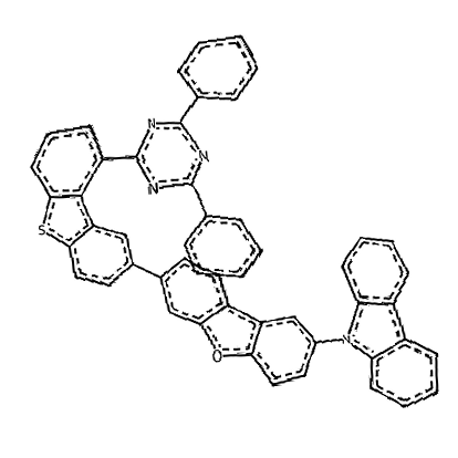 c1ccc(-c2nc(-c3ccccc3)nc(-c3cccc4sc5ccc(-c6ccc7c(c6)oc6ccc(-n8c9ccccc9c9ccccc98)cc67)cc5c34)n2)cc1